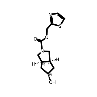 O=C(OCc1nccs1)N1C[C@H]2C[C@@H](O)C[C@H]2C1